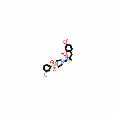 COc1ccc(Cc2csc(N3CCN(S(=O)(=O)c4cccc(Cl)c4)CC3)n2)c(OC)c1